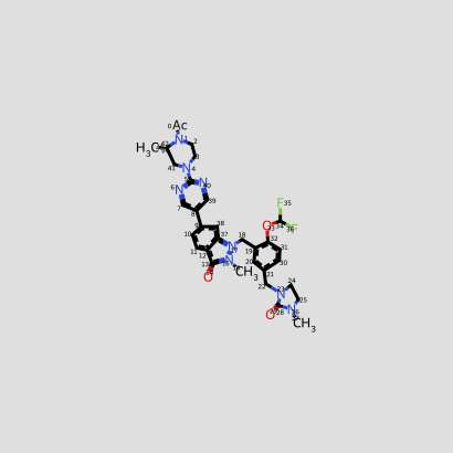 CC(=O)N1CCN(c2ncc(-c3ccc4c(=O)n(C)n(Cc5cc(CN6CCN(C)C6=O)ccc5OC(F)F)c4c3)cn2)C[C@H]1C